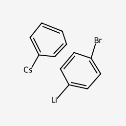 [Cs][c]1ccccc1.[Li][c]1ccc(Br)cc1